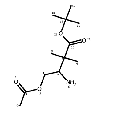 CC(=O)OCC(N)C(C)(C)C(=O)OC(C)(C)C